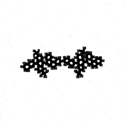 CC(C)(C)c1ccc2c(-c3cc4ccc5cc(-c6ccc7cc(-c8c9cc([Si](C)(C)C)ccc9c(-c9cc%10ccc%11ccccc%11c%10c%10ccccc9%10)c9cc([Si](C)(C)C)ccc89)ccc7c6)ccc5c4c4ccccc34)c3cc(C(C)(C)C)ccc3c(-c3ccc4ccccc4c3)c2c1